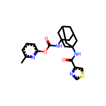 Cc1cccc(OC(=O)NC23CC4CC(C2)CC(NC(=O)c2cscn2)(C4)C3)n1